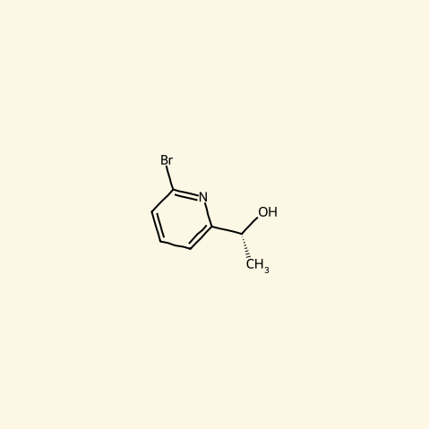 C[C@@H](O)c1cccc(Br)n1